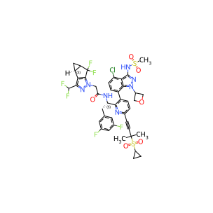 CC(C)(C#Cc1ccc(-c2ccc(Cl)c3c(NS(C)(=O)=O)nn(C4COC4)c23)c([C@H](Cc2cc(F)cc(F)c2)NC(=O)Cn2nc(C(F)F)c3c2C(F)(F)C2C[C@H]32)n1)S(=O)(=O)C1CC1